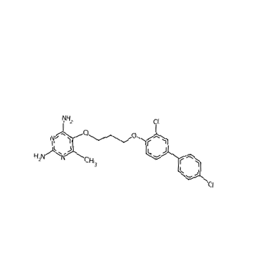 Cc1nc(N)nc(N)c1OCCCOc1ccc(-c2ccc(Cl)cc2)cc1Cl